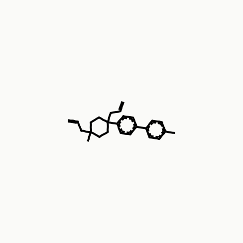 C=CCC1(C)CCC(CC=C)(c2ccc(-c3ccc(C)cc3)cc2)CC1